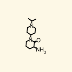 CC(C)N1CCC(N2CCCC(N)C2=O)CC1